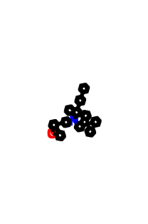 c1ccc(-c2ccc(-c3ccc(N(c4ccc(-c5cccc6oc7ccccc7c56)cc4)c4cccc5c4-c4ccccc4C5(c4ccccc4)c4ccccc4)c4ccccc34)cc2)cc1